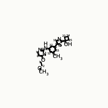 COCCOc1ccnc(Nc2cc(C)cc(-c3cnc(C4(O)CCC4)s3)c2)n1